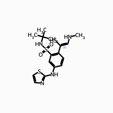 CN/C=C(\S)c1ccc(Nc2nccs2)cc1S(=O)(=O)NC(C)(C)C